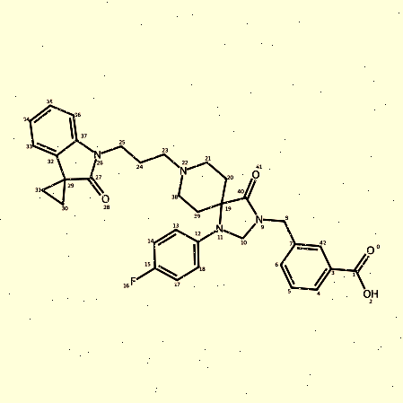 O=C(O)c1cccc(CN2CN(c3ccc(F)cc3)C3(CCN(CCCN4C(=O)C5(CC5)c5ccccc54)CC3)C2=O)c1